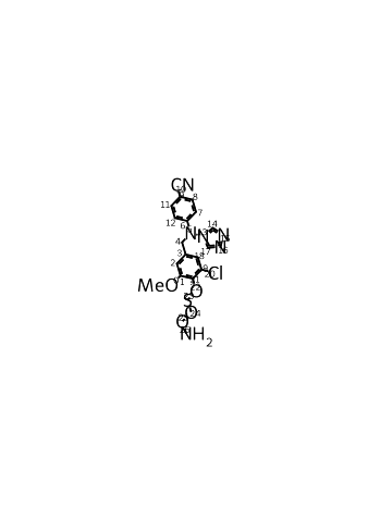 COc1cc(CN(c2ccc(C#N)cc2)n2cnnc2)cc(Cl)c1OSOON